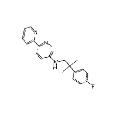 C=C(/C=C\C(=N/C)c1ccccn1)NCC(C)(C)c1ccc(F)cc1